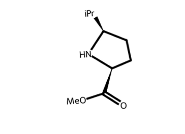 COC(=O)[C@@H]1CC[C@H](C(C)C)N1